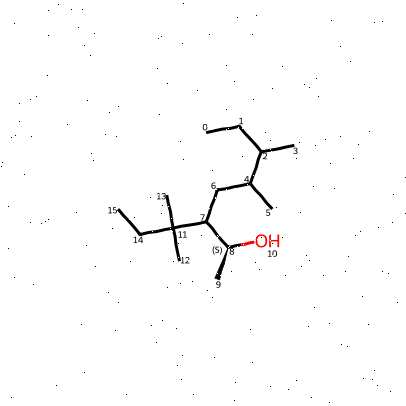 CCC(C)C(C)CC([C@H](C)O)C(C)(C)CC